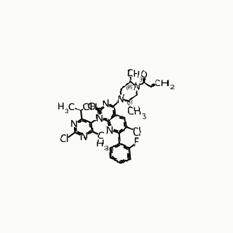 C=CC(=O)N1C[C@H](C)N(c2nc(=O)n(-c3c(C)nc(Cl)nc3C(C)C)c3nc(-c4ccccc4F)c(Cl)cc23)C[C@H]1C